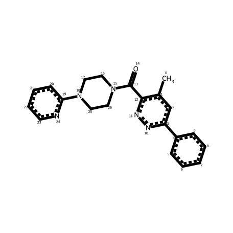 Cc1cc(-c2ccccc2)nnc1C(=O)N1CCN(c2ccccn2)CC1